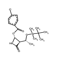 C[C@@H](O[Si](C)(C)C(C)(C)C)[C@H]1C(=O)N[C@@H]1OC(=O)c1ccc(Cl)cc1